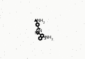 NSc1ccc(-c2cnn3cc(-c4ccc(C5(N)CC5)cc4)cnc23)c2ccccc12